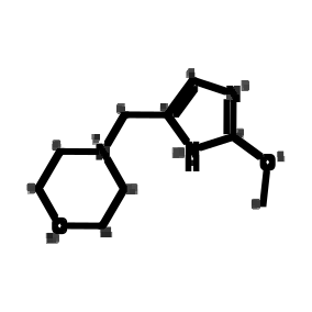 COc1ncc(CN2CCOCC2)[nH]1